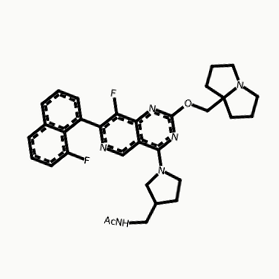 CC(=O)NCC1CCN(c2nc(OCC34CCCN3CCC4)nc3c(F)c(-c4cccc5cccc(F)c45)ncc23)C1